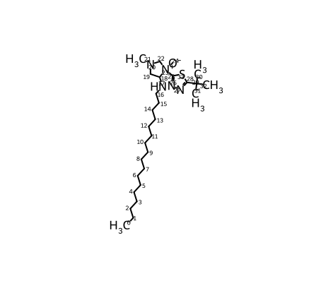 CCCCCCCCCCCCCCCCCNC1CN(C)C[N+]1([O-])c1nnc(C(C)(C)C)s1